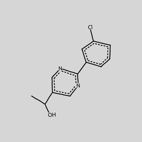 CC(O)c1cnc(-c2cccc(Cl)c2)nc1